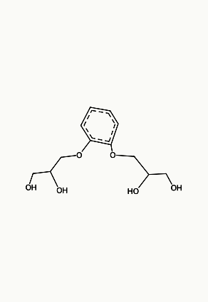 OCC(O)COc1ccccc1OCC(O)CO